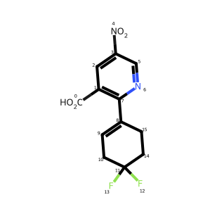 O=C(O)c1cc([N+](=O)[O-])cnc1C1=CCC(F)(F)CC1